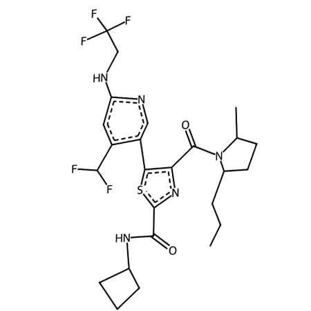 CCCC1CCC(C)N1C(=O)c1nc(C(=O)NC2CCC2)sc1-c1cnc(NCC(F)(F)F)cc1C(F)F